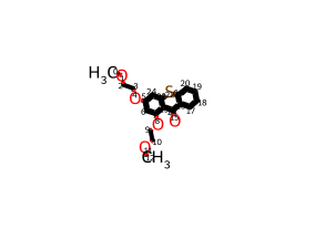 COCCOc1cc(OCCOC)c2c(=O)c3ccccc3sc2c1